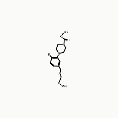 CSOOOCc1ccc(F)c(N2CCN(C(=O)OC(C)(C)C)CC2)c1